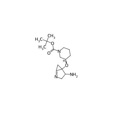 CC(C)(C)OC(=O)N1CCC[C@@H](OC23CC2=NCC3N)C1